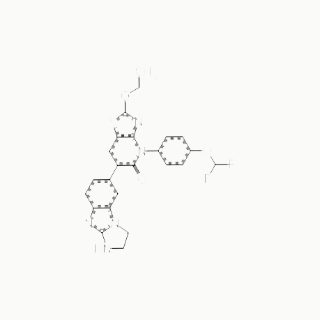 CCOc1nc2c(cc(-c3ccc4nc5n(c4c3)CCN5)c(=O)n2-c2ccc(OC(F)F)cc2)s1